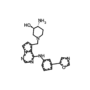 N[C@@H]1CCN(Cc2ccn3ncnc(Nc4cccc(-c5cnco5)c4)c23)C[C@H]1O